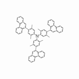 Cc1cc(N(c2cc(C)c(-c3cc4ccccc4c4ccccc34)cc2C)c2cc(C)c(-c3cc4ccccc4c4ccccc34)cc2C)c(C)cc1-c1cc2ccccc2c2ccccc12